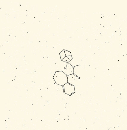 CN(C(=O)N1CCCCc2ccccc21)[C@@H]1CCC2CC1C2(C)C